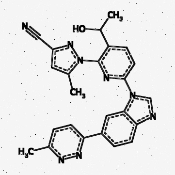 Cc1ccc(-c2ccc3ncn(-c4ccc(C(C)O)c(-n5nc(C#N)cc5C)n4)c3c2)nn1